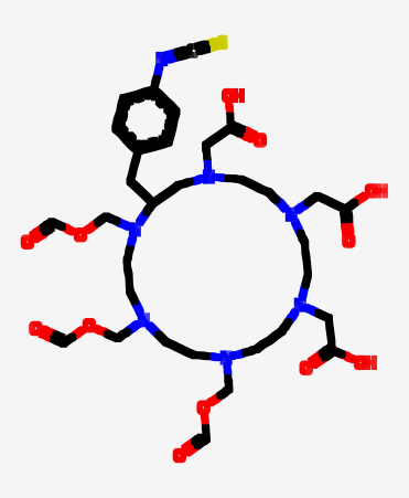 O=COCN1CCN(COC=O)CCN(COC=O)C(Cc2ccc(N=C=S)cc2)CN(CC(=O)O)CCN(CC(=O)O)CCN(CC(=O)O)CC1